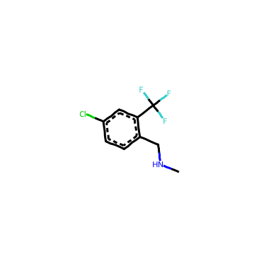 CNCc1ccc(Cl)cc1C(F)(F)F